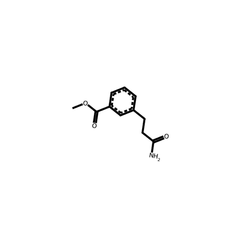 COC(=O)c1cccc(CCC(N)=O)c1